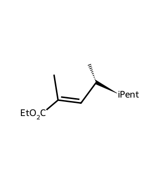 CCC[C@H](C)[C@@H](C)/C=C(\C)C(=O)OCC